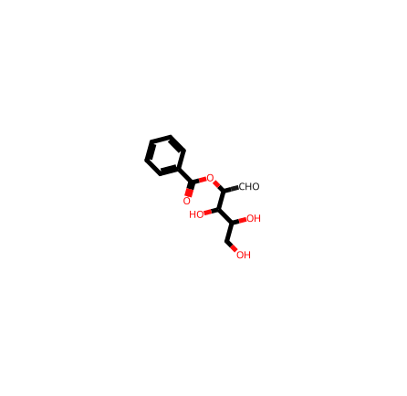 O=CC(OC(=O)c1ccccc1)C(O)C(O)CO